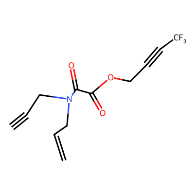 C#CCN(CC=C)C(=O)C(=O)OCC#CC(F)(F)F